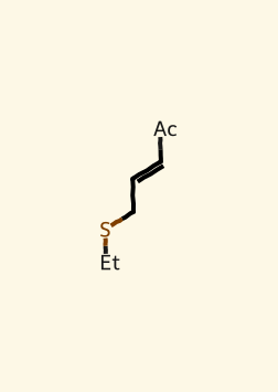 CCSC/C=C/C(C)=O